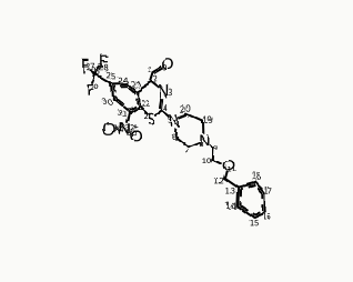 O=CC1N=C(N2CCN(CCOCc3ccccc3)CC2)Sc2c1cc(C(F)(F)F)cc2[N+](=O)[O-]